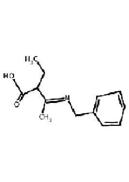 CCC(C(=O)O)/C(C)=N/Cc1ccccc1